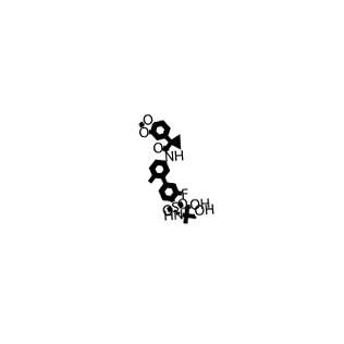 Cc1ccc(NC(=O)C2(c3ccc4c(c3)OCO4)CC2)cc1-c1ccc(S(=O)(=O)NC(C)(CO)CO)c(F)c1